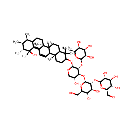 C[C@@H]1[C@@H](C)[C@@](C)(O)C2=C3C=CC4[C@@]5(C)CCC(O[C@@H]6OC[C@@H](O)[C@H](O[C@@H]7O[C@H](CO)[C@@H](O)[C@H](O)[C@H]7O[C@@H]7O[C@H](CO)[C@@H](O)[C@H](O)[C@H]7O)[C@H]6O[C@@H]6O[C@@H](C)[C@@H](O)[C@@H](O)[C@H]6O)C(C)(C)C5CC[C@@]4(C)[C@]3(C)CCC2[C@@H]1C